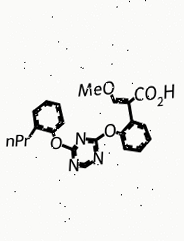 CCCc1ccccc1Oc1ncnc(Oc2ccccc2C(=COC)C(=O)O)n1